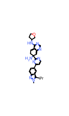 CC(C)c1c2cc(-c3ccnc(C4(N)C=c5ncnc(NC6CCOC6)c5=CC4)n3)ccc2nn1C